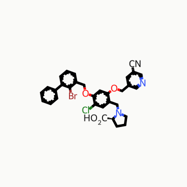 N#Cc1cncc(COc2cc(OCc3cccc(-c4ccccc4)c3Br)c(Cl)cc2CN2CCC[C@H]2C(=O)O)c1